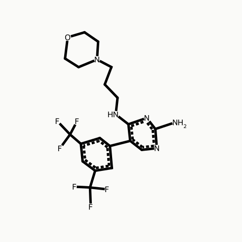 Nc1ncc(-c2cc(C(F)(F)F)cc(C(F)(F)F)c2)c(NCCCN2CCOCC2)n1